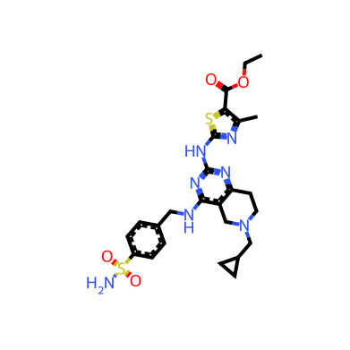 CCOC(=O)c1sc(Nc2nc3c(c(NCc4ccc(S(N)(=O)=O)cc4)n2)CN(CC2CC2)CC3)nc1C